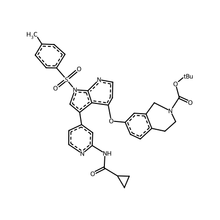 Cc1ccc(S(=O)(=O)n2cc(-c3ccnc(NC(=O)C4CC4)c3)c3c(Oc4ccc5c(c4)CN(C(=O)OC(C)(C)C)CC5)ccnc32)cc1